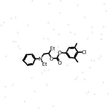 CCC(CN(CC)c1ccccc1)OC(=O)Oc1cc(C)c(Cl)c(C)c1